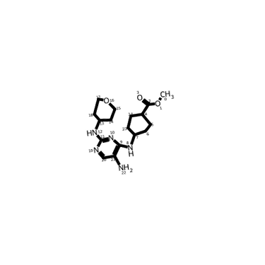 COC(=O)C1CCC(Nc2nc(NC3CCOCC3)ncc2N)CC1